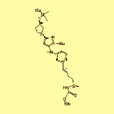 C[C@H](CC/C=C/c1cc(Nc2cc([C@H]3CC[C@@H](O[Si](C)(C)C(C)(C)C)C3)nn2C(C)(C)C)ccn1)NC(=O)OC(C)(C)C